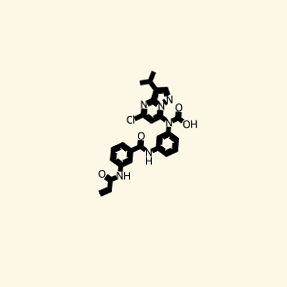 C=CC(=O)Nc1cccc(C(=O)Nc2cccc(N(C(=O)O)c3cc(Cl)nc4c(C(C)C)cnn34)c2)c1